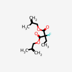 C=C(C)COC(=O)C(F)(CC)C(=O)OCC(=C)C